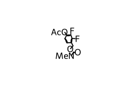 CNC(=O)OCc1ccc(OC(C)=O)c(F)c1F